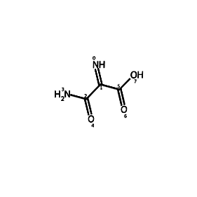 N=C(C(N)=O)C(=O)O